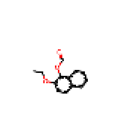 CCOc1ccc2ccccc2c1OC=O